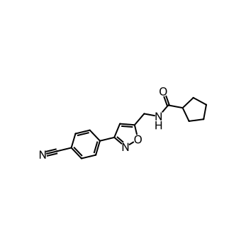 N#Cc1ccc(-c2cc(CNC(=O)C3CCCC3)on2)cc1